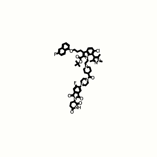 Cc1nn(C)c(C)c1-c1c(Cl)ccc2c(CCCOc3cccc4cc(F)ccc34)c(C(=O)OC(C)(C)C)n(CCN3CCC(C(=O)N4CCN(c5cc6c(cc5F)C(=O)N(C5CCC(=O)NC5=O)C6=O)CC4)CC3)c12